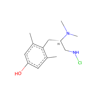 Cc1cc(O)cc(C)c1C[C@@H](CNCl)N(C)C